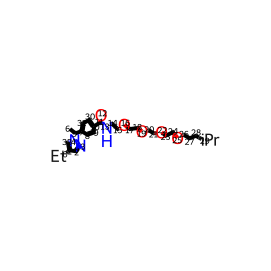 CCc1cnn(C(C)c2ccc(C(=O)NCCOCCOCCOCCOCCCC(C)C)cc2)c1